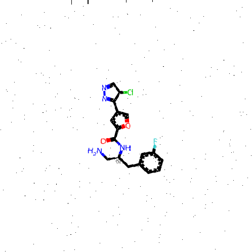 NC[C@H](Cc1cccc(F)c1)NC(=O)c1cc(C2=NN=CC2Cl)co1